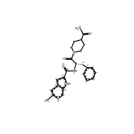 NC(=O)C1CCN(C(=O)[C@H](Cc2ccccc2)NC(=O)c2cc3cc(Cl)ncc3[nH]2)CC1